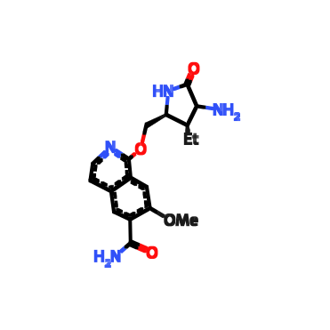 CC[C@@H]1C(N)C(=O)N[C@@H]1COc1nccc2cc(C(N)=O)c(OC)cc12